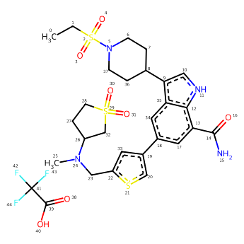 CCS(=O)(=O)N1CCC(c2c[nH]c3c(C(N)=O)cc(-c4csc(CN(C)C5CCS(=O)(=O)C5)c4)cc23)CC1.O=C(O)C(F)(F)F